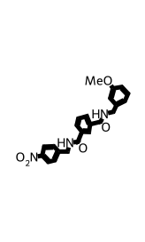 COc1cccc(CNC(=O)c2cccc(C(=O)NCc3ccc([N+](=O)[O-])cc3)c2)c1